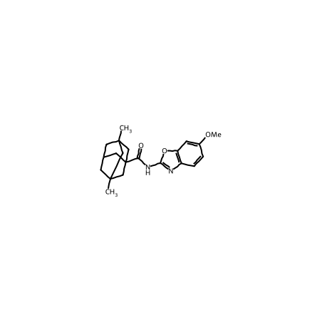 COc1ccc2nc(NC(=O)C34CC5CC(C)(CC(C)(C5)C3)C4)oc2c1